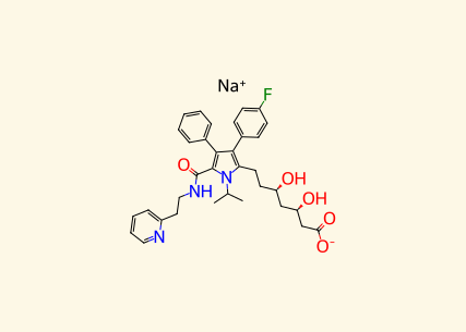 CC(C)n1c(CC[C@@H](O)C[C@@H](O)CC(=O)[O-])c(-c2ccc(F)cc2)c(-c2ccccc2)c1C(=O)NCCc1ccccn1.[Na+]